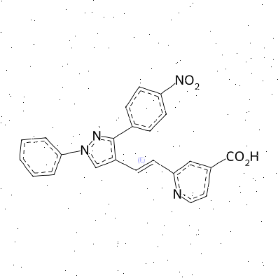 O=C(O)c1ccnc(/C=C/c2cn(-c3ccccc3)nc2-c2ccc([N+](=O)[O-])cc2)c1